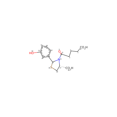 O=C(O)CCCC(=O)N1C(c2cccc(O)c2)SC[C@H]1C(=O)O